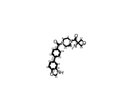 NC1(C(=O)N2CCN(C(=O)c3ccc(-c4ccc5c(c4)NCO5)cc3)CC2)COC1